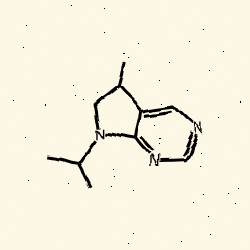 CC1CN(C(C)C)c2ncncc21